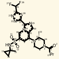 CC(C)C(=O)N1CCN(c2cc(S(=O)(=O)NC3(C)CC3)cn3c(-c4nnc(C(F)F)s4)ncc23)[C@H](C)C1